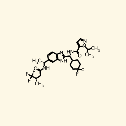 CC(C)n1nccc1C(=O)N[C@H](c1nc2ccc([C@@H](C)NC(=O)C[C@@H](C)C(F)(F)F)cc2[nH]1)C1CCC(F)(F)CC1